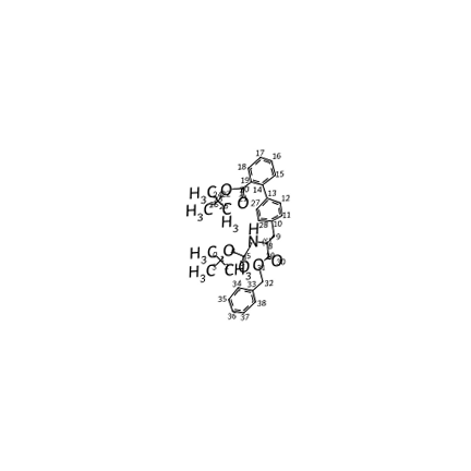 CC(C)(C)OC(=O)N[C@@H](Cc1ccc(-c2ccccc2C(=O)OC(C)(C)C)cc1)C(=O)OCc1ccccc1